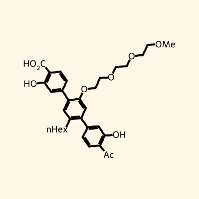 CCCCCCc1cc(-c2ccc(C(=O)O)c(O)c2)c(OCCOCCOCCOC)cc1-c1ccc(C(C)=O)c(O)c1